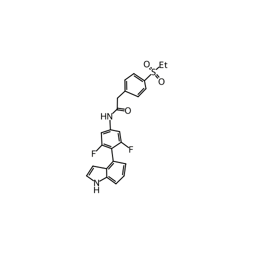 CCS(=O)(=O)c1ccc(CC(=O)Nc2cc(F)c(-c3cccc4[nH]ccc34)c(F)c2)cc1